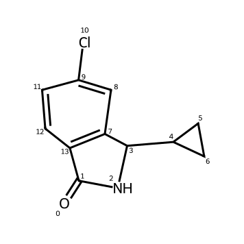 O=C1NC(C2CC2)c2cc(Cl)ccc21